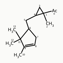 CC(=O)C1(C)CC1CC1CC=C(C)C1(C)C